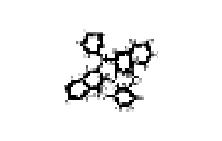 c1ccc(N2c3cc4ccccc4c4c3P3c5c(cccc5Oc5c3c2cc2ccccc52)O4)cc1